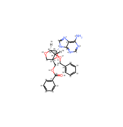 Nc1ncnc2c1ncn2[C@@H]1O[C@]2(COC(=O)c3ccccc3)CO[C@@H]1[C@@H]2OCc1ccccc1